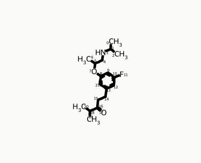 CC(C)NCC(C)Oc1cc(F)cc(CCC(=O)C(C)C)c1